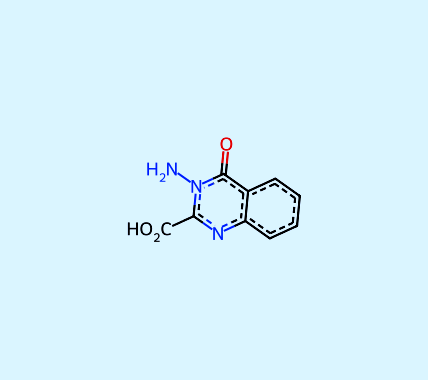 Nn1c(C(=O)O)nc2ccccc2c1=O